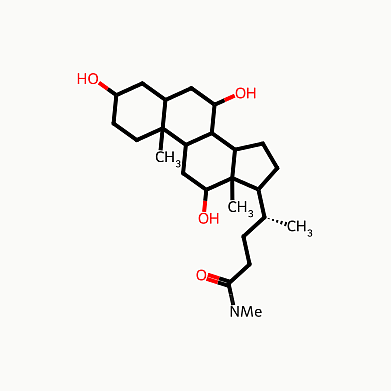 CNC(=O)CC[C@@H](C)C1CCC2C3C(O)CC4CC(O)CCC4(C)C3CC(O)C21C